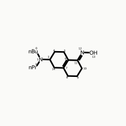 CCCCN(CCC)C1CCC2=C(CCCC2=NO)C1